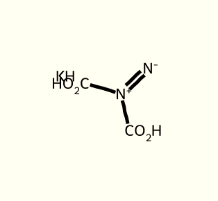 [KH].[N-]=[N+](C(=O)O)C(=O)O